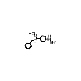 CCCNN1CCC(C(=O)OCc2ccccc2)CC1.Cl